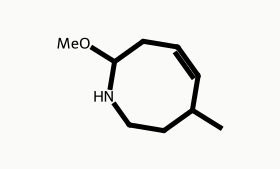 COC1C/C=C\C(C)CCN1